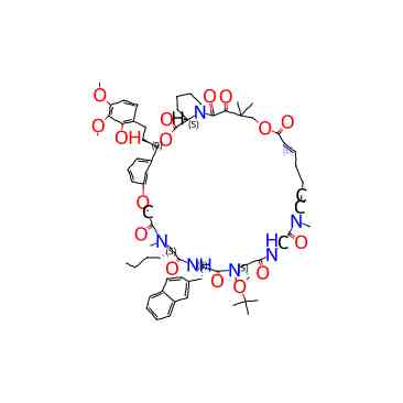 CCCC[C@H]1C(=O)N[C@@H](Cc2ccc3ccccc3c2)C(=O)N(C)[C@@H](COC(C)(C)C)C(=O)NCC(=O)N(C)CCCC/C=C/C(=O)OCC(C)(C)C(=O)C(=O)N2CCCC[C@H]2C(=O)O[C@H](CCc2ccc(OC)c(OC)c2O)c2cccc(c2)OCC(=O)N1C